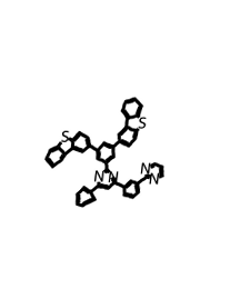 c1ccc(-c2cc(-c3cccc(-c4ncccn4)c3)nc(-c3cc(-c4ccc5sc6ccccc6c5c4)cc(-c4ccc5sc6ccccc6c5c4)c3)n2)cc1